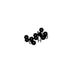 c1ccc(C2=NC(c3cccc4c(-c5ccc(-c6cccc7ccccc67)c6oc7ccccc7c56)cccc34)NC(c3cccc4oc5ccccc5c34)=N2)cc1